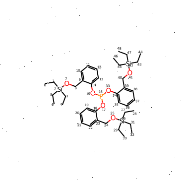 CC[Si](CC)(CC)OCc1ccccc1OP(Oc1ccccc1CO[Si](CC)(CC)CC)Oc1ccccc1CO[Si](CC)(CC)CC